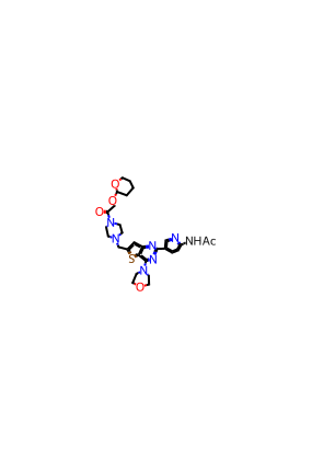 CC(=O)Nc1ccc(-c2nc(N3CCOCC3)c3sc(CN4CCN(C(=O)COC5CCCCO5)CC4)cc3n2)cn1